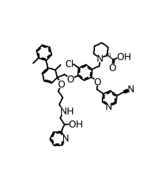 Cc1ccccc1C1=CC=CC(COc2cc(OCc3cncc(C#N)c3)c(CN3CCCC[C@H]3C(=O)O)cc2Cl)(OCCCNCC(O)c2ccccn2)C1C